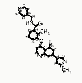 Cc1c(Oc2ccnc3cc(-c4cnn(C)c4)cc(F)c23)cccc1C(=O)NCc1ccncc1